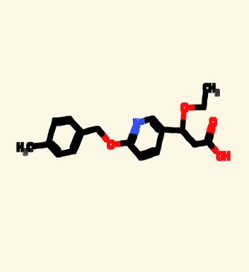 CCOC(CC(=O)O)c1ccc(OCc2ccc(C)cc2)nc1